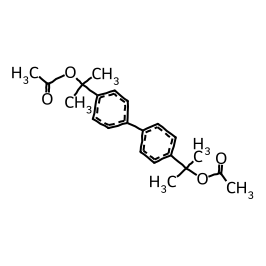 CC(=O)OC(C)(C)c1ccc(-c2ccc(C(C)(C)OC(C)=O)cc2)cc1